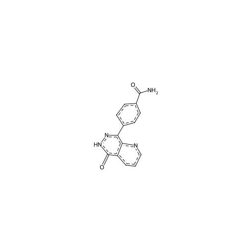 NC(=O)c1ccc(-c2n[nH]c(=O)c3cccnc23)cc1